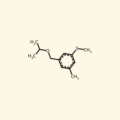 CSc1cc(C)cc(COC(C)C)c1